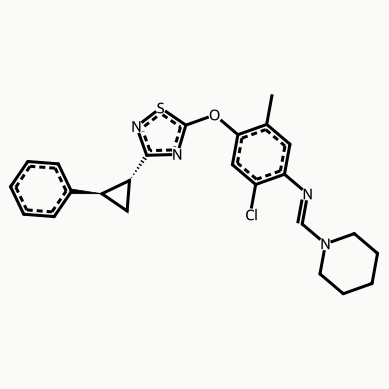 Cc1cc(/N=C/N2CCCCC2)c(Cl)cc1Oc1nc([C@@H]2C[C@H]2c2ccccc2)ns1